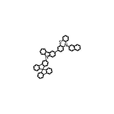 c1ccc2c(c1)Sc1cc(-c3ccc4c(c3)c3ccccc3n4-c3ccc4c(c3)-c3ccccc3C43c4ccccc4-c4ccccc43)ccc1N2c1ccc2ccccc2c1